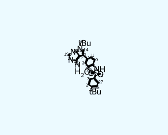 CC(C)(C)c1ccc(S(=O)(=O)Nc2ccc(-c3cn(C(C)(C)C)c4ncnc(N)c34)cc2O)cc1